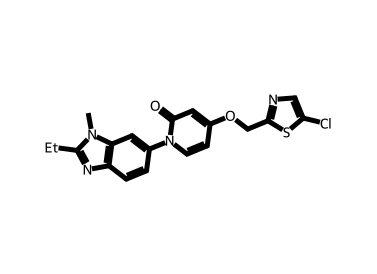 CCc1nc2ccc(-n3ccc(OCc4ncc(Cl)s4)cc3=O)cc2n1C